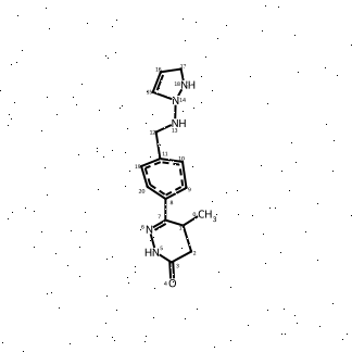 CC1CC(=O)NN=C1c1ccc(CNN2C=CCN2)cc1